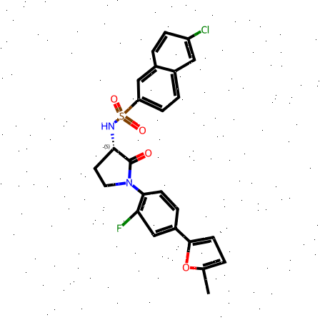 Cc1ccc(-c2ccc(N3CC[C@H](NS(=O)(=O)c4ccc5cc(Cl)ccc5c4)C3=O)c(F)c2)o1